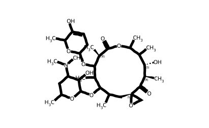 CC1CC(N(C)C)C(O)C(OC2C(C)C[C@]3(CO3)C(=O)[C@H](C)[C@@H](O)C(C)C(C)OC(=O)[C@H](C)C(OC3CC=C(O)C(C)O3)C2C)O1